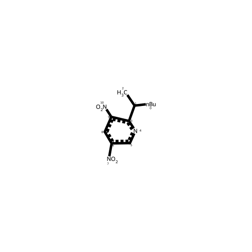 CCCCC(C)c1ncc([N+](=O)[O-])cc1[N+](=O)[O-]